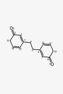 O=C1C=C(CCC2=CC(=O)CC=[C]2)[C]=CC1